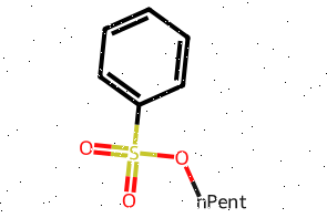 CCCCCOS(=O)(=O)c1ccccc1